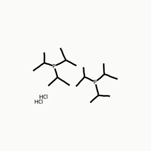 CC(C)P(C(C)C)C(C)C.CC(C)P(C(C)C)C(C)C.Cl.Cl